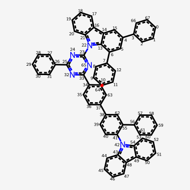 c1ccc(-c2cc(-c3ccccc3)c3c(c2)c2ccccc2n3-c2nc(-c3ccccc3)nc(-c3ccc(-c4ccc(-n5c6ccccc6c6ccccc65)c(-c5ccccc5)c4)cc3)n2)cc1